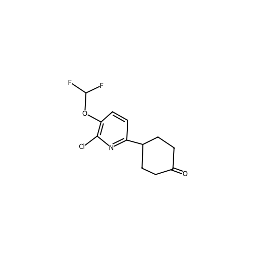 O=C1CCC(c2ccc(OC(F)F)c(Cl)n2)CC1